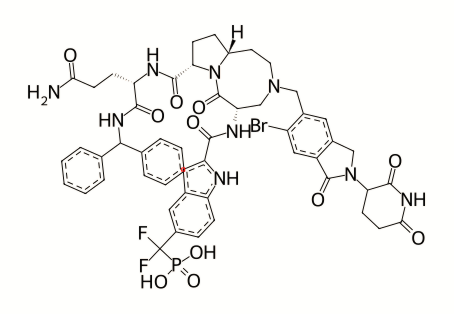 NC(=O)CC[C@H](NC(=O)[C@@H]1CC[C@@H]2CCN(Cc3cc4c(cc3Br)C(=O)N(C3CCC(=O)NC3=O)C4)C[C@H](NC(=O)c3cc4cc(C(F)(F)P(=O)(O)O)ccc4[nH]3)C(=O)N21)C(=O)NC(c1ccccc1)c1ccccc1